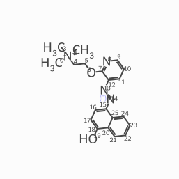 C[N+](C)(C)CCOc1ncccc1/N=N/c1ccc(O)c2ccccc12